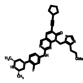 COCCc1ncsc1Cn1c(=O)c(C#CC2CCCC2)cc2cnc(Nc3ccc(N4C[C@@H](C)N[C@@H](C)C4)c(F)c3)nc21